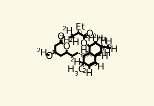 [2H]O[C@H]1CC(=O)OC(CC[C@@H]2[C@@H]3C(=C([2H])[C@]([2H])(C([2H])([2H])[2H])C([2H])([2H])C3OC(=O)[C@H](CC)C([2H])([2H])[2H])C([2H])=C([2H])[C@]2([2H])C)C1